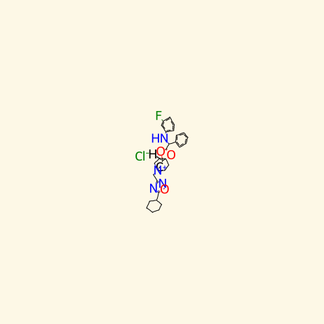 O=C(O[C@H]1C[N+]2(Cc3noc(C4CCCCC4)n3)CCC1CC2)C(Nc1cccc(F)c1)c1ccccc1.[Cl-]